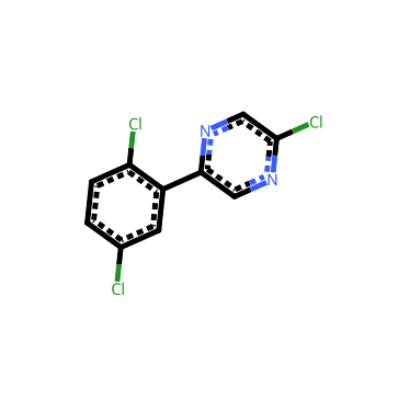 Clc1ccc(Cl)c(-c2cnc(Cl)cn2)c1